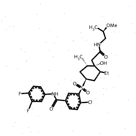 CCC1C[C@@H](S(=O)(=O)c2cc(C(=O)Nc3ccc(F)c(F)c3)ccc2Cl)C[C@H](C)[C@@]1(O)CC(=O)NC[C@@H](C)OC